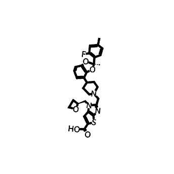 Cc1ccc([C@]2(C)Oc3cccc(C4CCN(Cc5nc6sc(C(=O)O)cc6n5C[C@@H]5CCO5)CC4)c3O2)c(F)c1